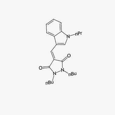 CCCCN1C(=O)C(=Cc2cn(CCC)c3ccccc23)C(=O)N1CCCC